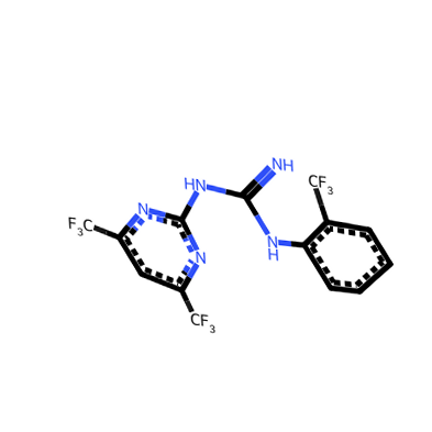 N=C(Nc1nc(C(F)(F)F)cc(C(F)(F)F)n1)Nc1ccccc1C(F)(F)F